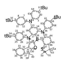 CC(C)(C)c1ccc(N(c2ccc(C(C)(C)C)cc2)c2cc3c4c(c2)N(c2ccc(C(C)(C)C)cc2)c2c(oc5c2-c2ccccc2C5(C)C)B4c2c(ccc4c2SC(C)(C)C4(C)C)N3c2ccc(C(C)(C)C)cc2)cc1